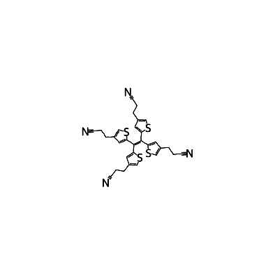 N#CCCc1csc(C(=C(c2cc(CCC#N)cs2)c2cc(CCC#N)cs2)c2cc(CCC#N)cs2)c1